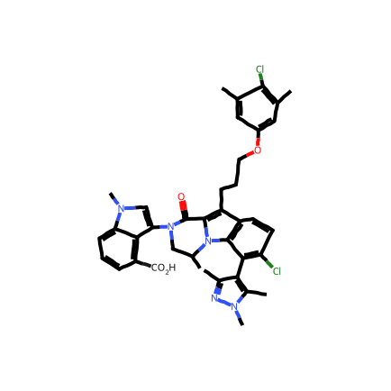 Cc1cc(OCCCc2c3n(c4c(-c5c(C)nn(C)c5C)c(Cl)ccc24)C(C)CN(c2cn(C)c4cccc(C(=O)O)c24)C3=O)cc(C)c1Cl